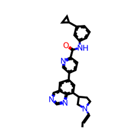 CC=CN1CCC(c2cc(-c3ccc(C(=O)Nc4cccc(C5CC5)c4)nc3)cc3cncnc23)C1